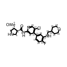 CO[C@H]1CNC[C@@H]1C(=O)Nc1cc(-c2ccc(F)c(NCC3CCOCC3)c2)c(Cl)cn1